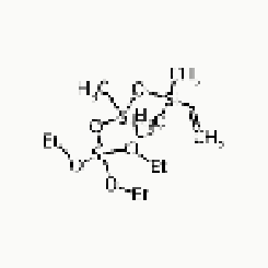 C=C[Si](C)(C)O[Si](C)(C)O[Si](OCC)(OCC)OCC